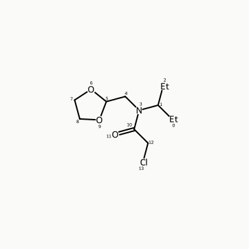 CCC(CC)N(CC1OCCO1)C(=O)CCl